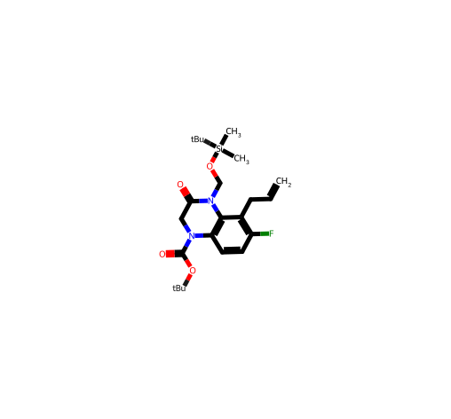 C=CCc1c(F)ccc2c1N(CO[Si](C)(C)C(C)(C)C)C(=O)CN2C(=O)OC(C)(C)C